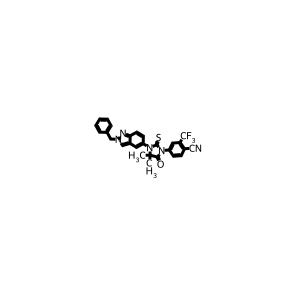 CC1(C)C(=O)N(c2ccc(C#N)c(C(F)(F)F)c2)C(=S)N1c1ccc2nn(Cc3ccccc3)cc2c1